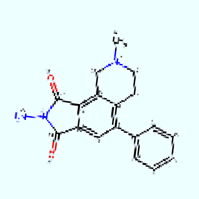 CN1CCc2c(-c3ccccc3)cc3c(c2C1)C(=O)N(N)C3=O